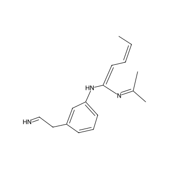 C/C=C\C=C(/N=C(C)C)Nc1cccc(CC=N)c1